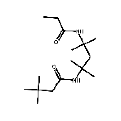 CCC(=O)NC(C)(C)CC(C)(C)NC(=O)CC(C)(C)C